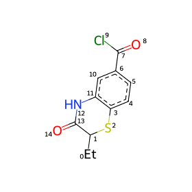 CCC1Sc2ccc(C(=O)Cl)cc2NC1=O